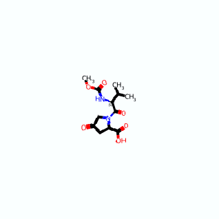 COC(=O)N[C@H](C(=O)N1CC(=O)CC1C(=O)O)C(C)C